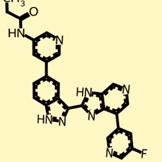 CCC(=O)Nc1cncc(-c2ccc3[nH]nc(-c4nc5c(-c6cncc(F)c6)cncc5[nH]4)c3c2)c1